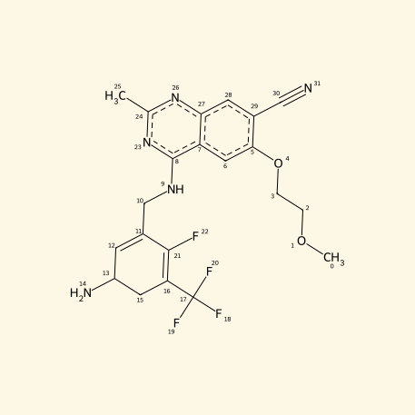 COCCOc1cc2c(NCC3=CC(N)CC(C(F)(F)F)=C3F)nc(C)nc2cc1C#N